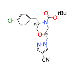 CC(C)(C)OC(=O)N1C[C@H](Cn2cc(C#N)cn2)OC[C@@H]1Cc1ccc(Cl)cc1